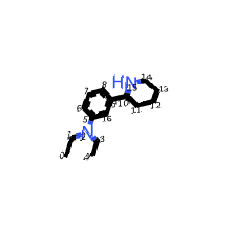 CCN(CC)c1cccc(C2CCCCN2)c1